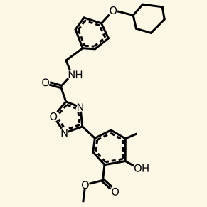 COC(=O)c1cc(-c2noc(C(=O)NCc3ccc(OC4CCCCC4)cc3)n2)cc(C)c1O